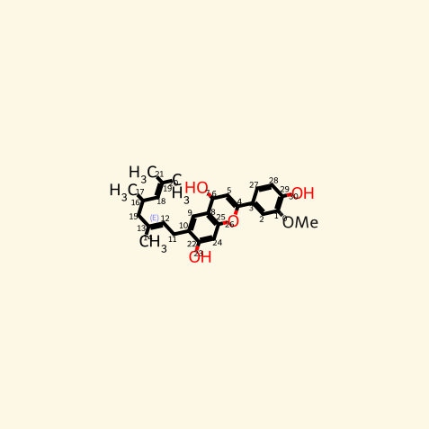 COc1cc(C2=CC(O)c3cc(C/C=C(\C)CC(C)C=C(C)C)c(O)cc3O2)ccc1O